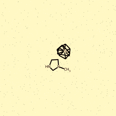 CN1CCNC1.[CH]12[CH]3[CH]4[CH]5[CH]1[Fe]23451678[CH]2[CH]1[CH]6[CH]7[CH]28